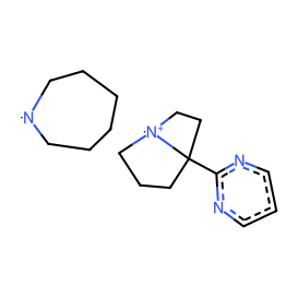 C1CCC[N]CC1.c1cnc(C23CCC[N+]2CC3)nc1